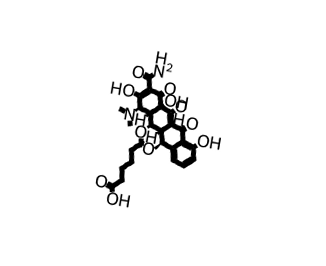 C[C@@H]1c2cccc(O)c2C(=O)C2=C(O)[C@@]3(O)C(=O)C(C(N)=O)=C(O)[C@H](N(C)C)[C@H]3[C@H](OC(=O)CCCCC(=O)O)[C@H]21